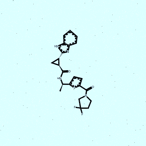 C[C@@H](NC(=O)[C@H]1C[C@@H]1c1nc2ccccc2[nH]1)c1ccc(C(=O)N2CCC(F)(F)C2)s1